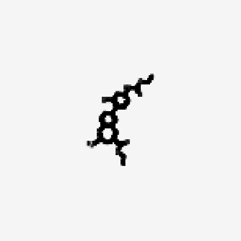 CCOC(=O)Nc1ccc(-c2ccc3c(c2)C=C(C(=O)OCC)CC(N)=N3)c(Cl)c1